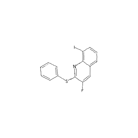 Fc1cc2cccc(I)c2nc1Sc1ccccc1